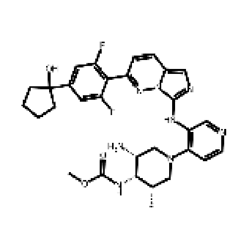 COC(=O)N[C@@H]1[C@H](N)CN(c2ccncc2Nc2ncc3ccc(-c4c(F)cc(C5(O)CCCC5)cc4F)nn23)C[C@@H]1C